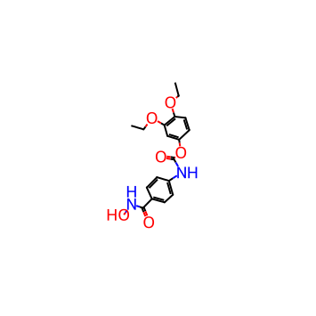 CCOc1ccc(OC(=O)Nc2ccc(C(=O)NO)cc2)cc1OCC